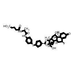 C[C@H](NC(=O)CCCC(=O)O)C(=O)Nc1ccc(Sc2ccc([C@@H]3O[C@@H]4CC5[C@@H]6C[C@H](F)C7=CC(=O)C=C[C@]7(C)[C@@]6(F)[C@@H](O)C[C@]5(C)[C@]4(C(=O)CO)O3)cc2)cc1